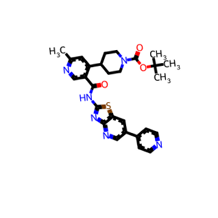 Cc1cc(C2CCN(C(=O)OC(C)(C)C)CC2)c(C(=O)Nc2nc3ncc(-c4ccncc4)cc3s2)cn1